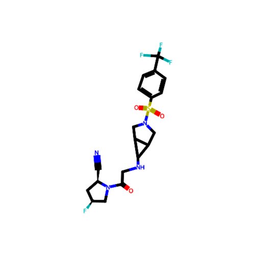 N#C[C@@H]1C[C@H](F)CN1C(=O)CNC1C2CN(S(=O)(=O)c3ccc(C(F)(F)F)cc3)CC21